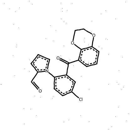 O=Cc1cccn1-c1ccc(Cl)cc1C(=O)c1cccc2c1OCCO2